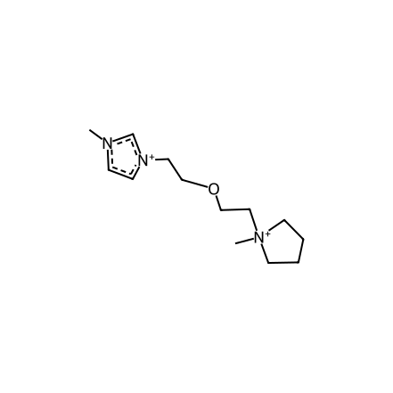 Cn1cc[n+](CCOCC[N+]2(C)CCCC2)c1